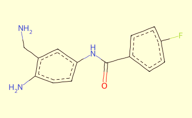 NCc1cc(NC(=O)c2ccc(F)cc2)ccc1N